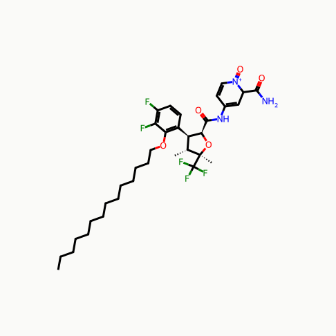 CCCCCCCCCCCCCCOc1c([C@H]2[C@@H](C(=O)NC3=CC(C(N)=O)[N+](=O)C=C3)O[C@@](C)(C(F)(F)F)[C@@H]2C)ccc(F)c1F